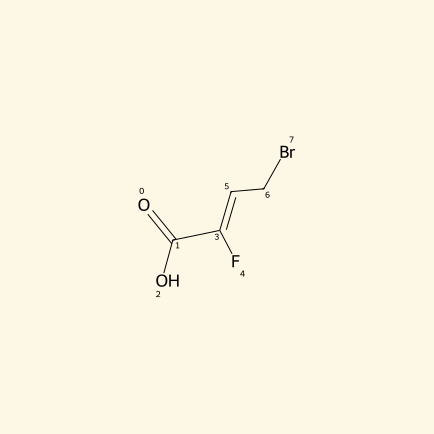 O=C(O)C(F)=CCBr